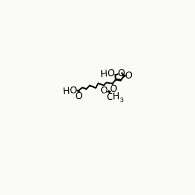 CC(=O)OC(CCCCCCCC(=O)O)C1=CC(=O)OC1O